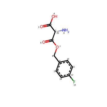 N[C@@H](C(=O)O)C(=O)OCc1ccc(F)cc1